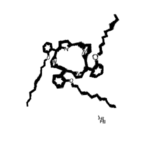 CCCCCCCCCCOc1ccccc1C1=C2C=CC(=N2)C=C2C=CC(=N2)C(c2ccccc2OCCCCCCCCCC)=C2C=CC(=N2)C(c2ccccc2OCCCCCCCCCC)=C2C=CC1=N2.I.I